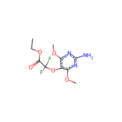 CCOC(=O)C(F)(F)Oc1c(OC)nc(N)nc1OC